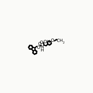 C=CCOc1ccc(CC(NC(=O)OCC2c3ccccc3-c3ccccc32)C(=O)O)cc1